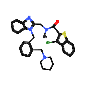 CC(C)N(Cc1nc2ccccc2n1Cc1ccccc1CN1CCCCC1)C(=O)c1sc2ccccc2c1Cl